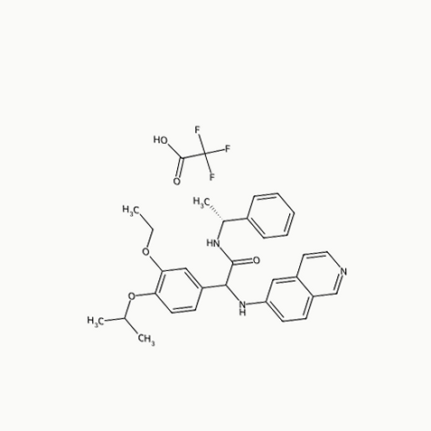 CCOc1cc(C(Nc2ccc3cnccc3c2)C(=O)N[C@H](C)c2ccccc2)ccc1OC(C)C.O=C(O)C(F)(F)F